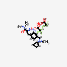 CC(C)N(C)C(=O)C(N)Cc1ccc(CN(C)C2CCCC2)cc1.O=C(O)C(F)(F)F.O=C(O)C(F)(F)F